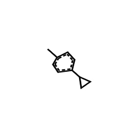 Cc1ccc(C2CC2)cc1